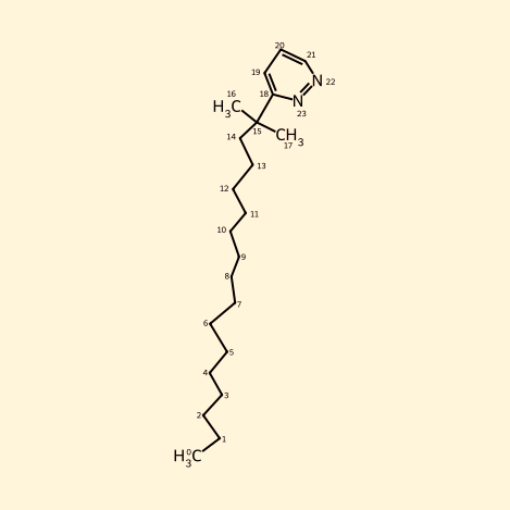 CCCCCCCCCCCCCCCC(C)(C)c1cccnn1